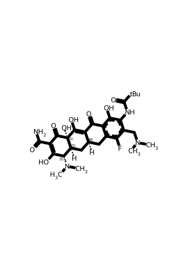 CN(C)Cc1c(F)c2c(c(O)c1NC(=O)C(C)(C)C)C(=O)C1=C(O)[C@]3(O)C(=O)C(C(N)=O)=C(O)[C@@H](N(C)C)[C@@H]3C[C@@H]1C2